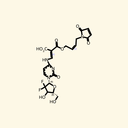 O=C(O)/C(=C\Nc1ccn([C@@H]2O[C@H](CO)C(O)C2(F)F)c(=O)n1)C(=O)OC/C=C\CN1C(=O)C=CC1=O